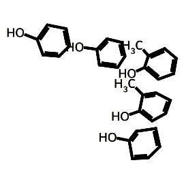 Cc1ccccc1O.Cc1ccccc1O.Oc1ccccc1.Oc1ccccc1.Oc1ccccc1